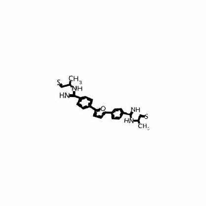 CC(C=S)NC(=N)c1ccc(-c2ccc(-c3ccc(C(=N)NC(C)C=S)cc3)o2)cc1